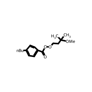 CCCCc1ccc(C(=O)OO[CH]CC(C)(C)OC)cc1